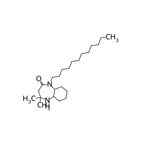 CCCCCCCCCCCCN1C(=O)CC(C)(C)NC2CCCCC21